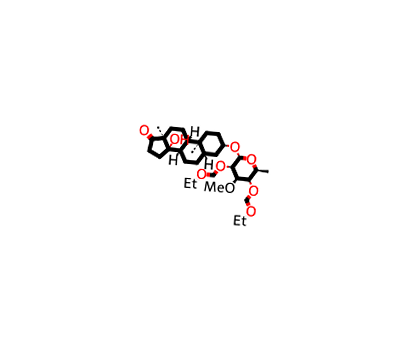 CCOCO[C@@H]1[C@H](O[C@H]2CC[C@@]3(C)[C@H](CC[C@@H]4[C@@H]3CC[C@]3(C)C(=O)CC[C@]43O)C2)O[C@@H](C)[C@H](OCOCC)[C@H]1OC